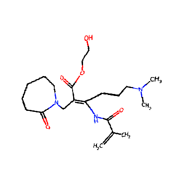 C=C(C)C(=O)NC(CCCN(C)C)=C(CN1CCCCCC1=O)C(=O)OCCO